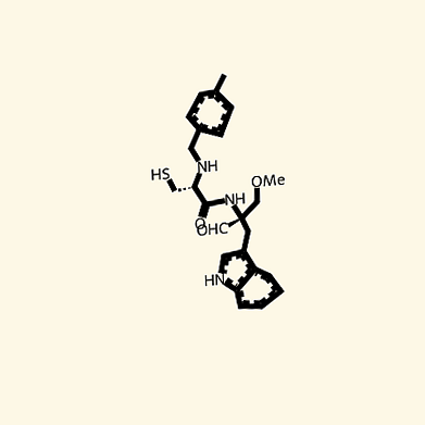 COC[C@](C=O)(Cc1c[nH]c2ccccc12)NC(=O)[C@H](CS)NCc1ccc(C)cc1